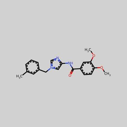 COc1ccc(C(=O)Nc2cn(Cc3cccc(C)c3)cn2)cc1OC